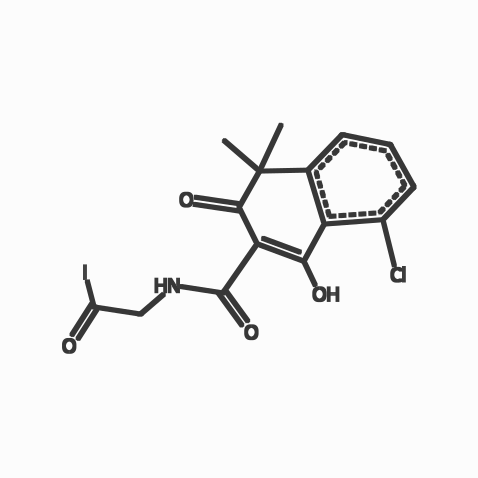 CC1(C)C(=O)C(C(=O)NCC(=O)I)=C(O)c2c(Cl)cccc21